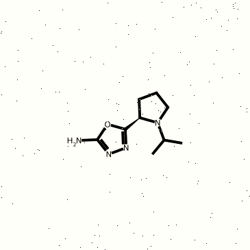 CC(C)N1CCC[C@@H]1c1nnc(N)o1